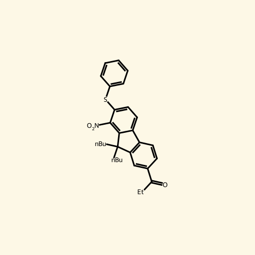 CCCCC1(CCCC)c2cc(C(=O)CC)ccc2-c2ccc(Sc3ccccc3)c([N+](=O)[O-])c21